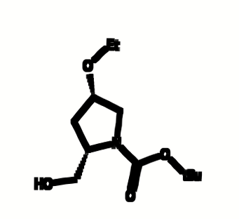 CCO[C@H]1C[C@@H](CO)N(C(=O)OC(C)(C)C)C1